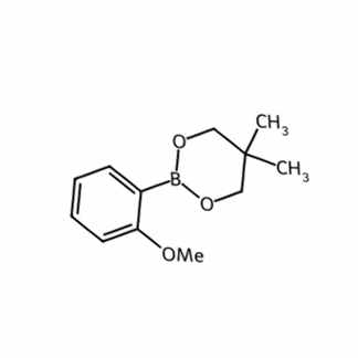 COc1ccccc1B1OCC(C)(C)CO1